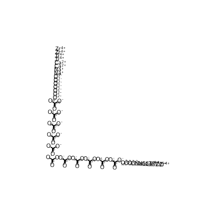 O=C([O-])[O-].O=C([O-])[O-].O=C([O-])[O-].O=C([O-])[O-].O=C([O-])[O-].O=C([O-])[O-].O=C([O-])[O-].O=C([O-])[O-].O=C([O-])[O-].O=C([O-])[O-].O=C([O-])[O-].[Ca+2].[Ca+2].[Ca+2].[Ca+2].[Na+].[Na+].[Na+].[Na+].[O-2].[O-2].[O-2].[O-2].[O-2].[O-2].[O-2].[O-2].[O-2].[O-2].[O-2].[Ti+4].[Ti+4].[Ti+4].[Ti+4].[Zr+4].[Zr+4].[Zr+4].[Zr+4]